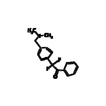 CN(C)Cc1ccc(C(F)(F)C(=O)c2ccccc2)cc1